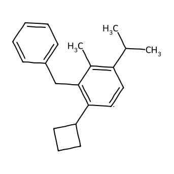 Cc1c(C(C)C)c[c]c(C2CCC2)c1Cc1ccccc1